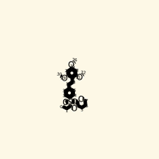 CCC(OC1CCCOC1)S(=O)(=O)c1ccc(C=Cc2c(OC)cc(OC)cc2OC)cc1